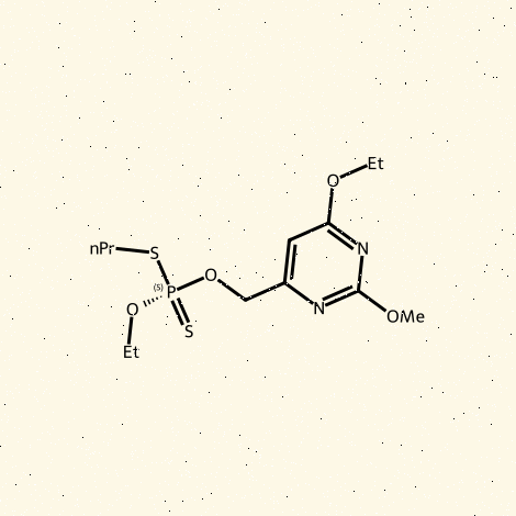 CCCS[P@@](=S)(OCC)OCc1cc(OCC)nc(OC)n1